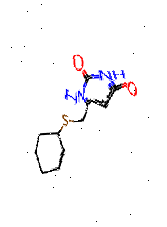 O=c1cc(CSC2CCCCC2)[nH]c(=O)[nH]1